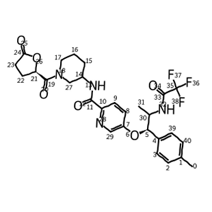 Cc1ccc([C@@H](Oc2ccc(C(=O)NC3CCCN(C(=O)[C@H]4CCC(=O)O4)C3)nc2)C(C)NC(=O)C(F)(F)F)cc1